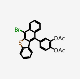 CC(=O)Oc1ccc(-c2c3ccccc3c(Br)c3sc4ccccc4c23)cc1OC(C)=O